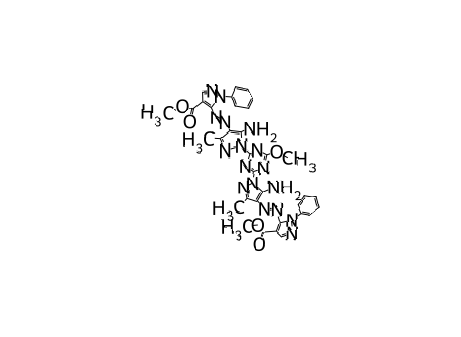 COC(=O)c1cnn(-c2ccccc2)c1/N=N/c1c(C)nn(-c2nc(OC)nc(-n3nc(C)c(/N=N/c4c(C(=O)OC)cnn4-c4ccccc4)c3N)n2)c1N